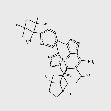 CC(=O)c1c([C@H]2C[C@H]3CC[C@@H](C2)N3C(=O)c2nnc(C)[nH]2)nc2c(-c3ccc(C(N)(C(F)(F)F)C(F)(F)F)nc3)cnn2c1N